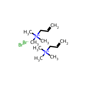 C=CC[N+](C)(C)C.C=CC[N+](C)(C)C.[Br-].[Br-]